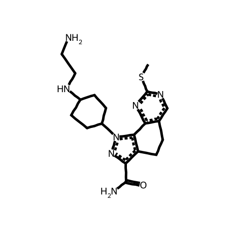 CSc1ncc2c(n1)-c1c(c(C(N)=O)nn1C1CCC(NCCN)CC1)CC2